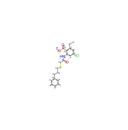 CCc1cc(Cl)cc(NC(=O)CSCCCc2ccccc2)c1C(=O)OC